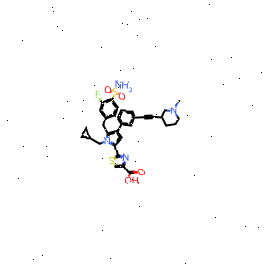 CN1CCCC(C#Cc2cccc(-c3cc(-c4nc(C(=O)O)cs4)n(CC4CC4)c3Cc3ccc(S(N)(=O)=O)c(F)c3)c2)C1